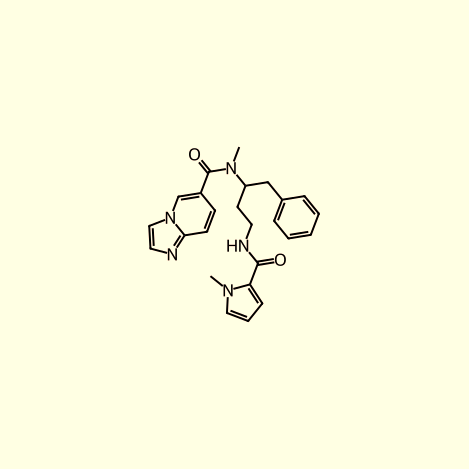 CN(C(=O)c1ccc2nccn2c1)C(CCNC(=O)c1cccn1C)Cc1ccccc1